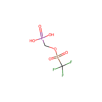 O=P(O)(O)COS(=O)(=O)C(F)(F)F